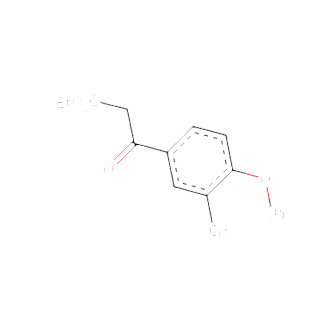 CCOC(=O)CC(=O)c1ccc(OC(C)C)c(C)c1